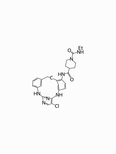 CCNC(=O)N1CCC(C(=O)Nc2ccc3cc2CCc2cccc(c2)Nc2ncc(Cl)c(n2)N3)CC1